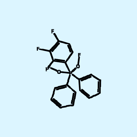 FOP(OF)(c1ccccc1)(c1ccccc1)c1ccc(F)c(F)c1F